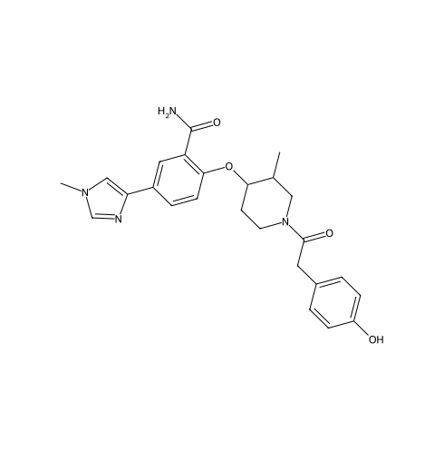 CC1CN(C(=O)Cc2ccc(O)cc2)CCC1Oc1ccc(-c2cn(C)cn2)cc1C(N)=O